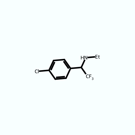 CCNC(c1ccc(Cl)cc1)C(F)(F)F